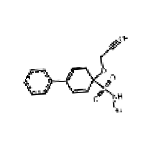 C#CCOC1(S(=O)(=O)NC(C)CC)C=CC(c2ccccc2)=CC1